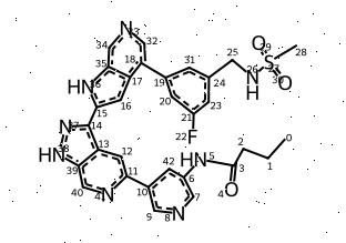 CCCC(=O)Nc1cncc(-c2cc3c(-c4cc5c(-c6cc(F)cc(CNS(C)(=O)=O)c6)cncc5[nH]4)n[nH]c3cn2)c1